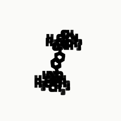 CC(C)(C)C(C)(C)NC(=O)c1ccc2c(c1)CCC(C(=O)NC(C)(C)C(C)(C)C)C2